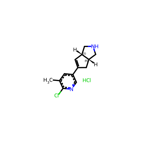 Cc1cc(C2=C[C@@H]3CNC[C@@H]3C2)cnc1Cl.Cl